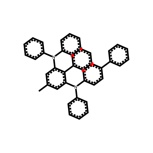 Cc1cc(N(c2ccccc2)c2ccccc2)c(-c2ccccc2)c(N(c2ccccc2)c2ccc(-c3ccccc3)cc2)c1